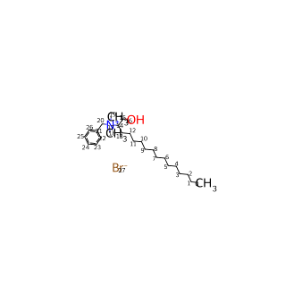 CCCCCCCCCCCCCCC(CO)[N+](C)(C)Cc1ccccc1.[Br-]